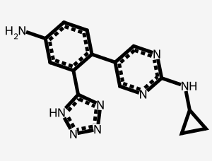 Nc1ccc(-c2cnc(NC3CC3)nc2)c(-c2nnn[nH]2)c1